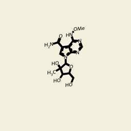 CONc1ncnc2c1c(C(N)=O)cn2C1OC(CO)C(O)C1(C)O